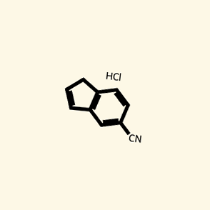 Cl.N#Cc1ccc2c(c1)C=CC2